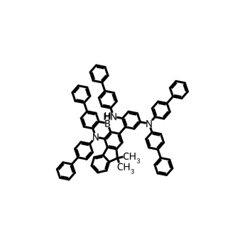 CC1(C)c2ccccc2-c2c1cc(-c1cc(N(c3ccc(-c4ccccc4)cc3)c3ccc(-c4ccccc4)cc3)ccc1Nc1ccc(-c3ccccc3)cc1)c1c2N(c2ccc(-c3ccccc3)cc2)c2ccc(-c3ccccc3)cc2B1